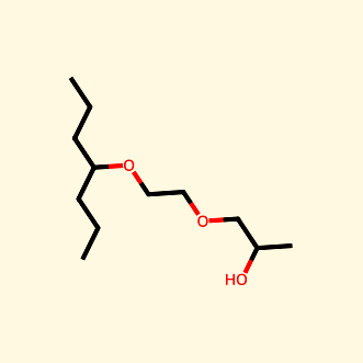 CCCC(CCC)OCCOCC(C)O